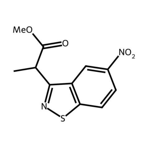 COC(=O)C(C)c1nsc2ccc([N+](=O)[O-])cc12